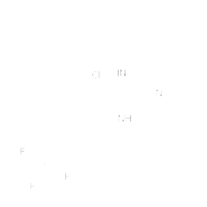 FC(F)(F)c1ccc(Cl)c(Nc2nc3ccccc3[nH]2)c1